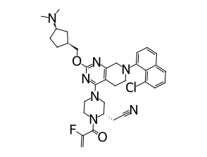 C=C(F)C(=O)N1CCN(c2nc(OC[C@H]3CC[C@@H](N(C)C)C3)nc3c2CCN(c2cccc4cccc(Cl)c24)C3)C[C@@H]1CC#N